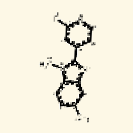 Cc1ccc2c(c1)nc(-c1ccnc(F)c1)n2C